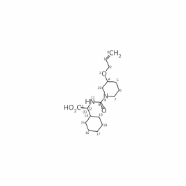 C=CCOC1CCCN(C(=O)N[C@H](C(=O)O)C2CCCCC2)C1